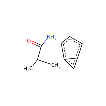 CC(C)C(N)=O.c1cc2cc-2c1